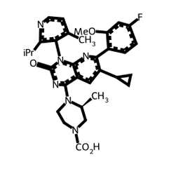 COc1cc(F)ccc1-c1nc2c(cc1C1CC1)c(N1CCN(C(=O)O)C[C@@H]1C)nc(=O)n2-c1c(C)ccnc1C(C)C